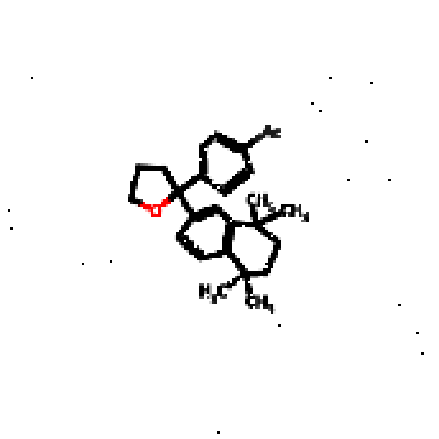 CC(=O)c1ccc(C2(c3ccc4c(c3)C(C)(C)CCC4(C)C)CCCO2)cc1